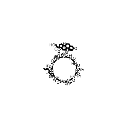 C/C=C/C[C@@H](C)[C@@H](O)[C@H]1C(=O)N[C@@H](CC)C(=O)N(C)CC(=O)N(C)[C@@H](CC(C)C)C(=O)N[C@@H](C(C)C)C(=O)N(C)[C@@H](CC(C)C)C(=O)N[C@@H](C)C(=O)N[C@H](C)C(=O)N(C)[C@@H](CC(C)C)C(=O)N(C)[C@@H](CC(C)C)C(=O)N(C)[C@@H](C(C)C)C(=O)N1C.C[C@]12C=CC(=O)C=C1CC[C@@H]1[C@@H]2C(=O)C[C@@]2(C)[C@H]1CC[C@]2(O)C(=O)CO